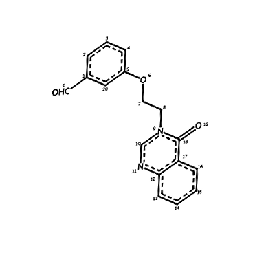 O=Cc1cccc(OCCn2cnc3ccccc3c2=O)c1